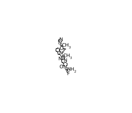 C[C@@H](Cn1ccnc1)Oc1cccc2cc(-c3nc4cc5c(nc4n3C)CCN(C[C@H](N)CF)C5=O)n(CC3CC3)c12